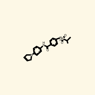 CC(C)S(=O)(=O)Nc1ccc(C(=O)Nc2ccc(N3CC=CC3)cc2)cc1